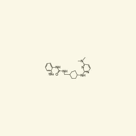 CN(C)c1ccnc(NC2CCC(CNC(=O)Nc3ccccc3C(C)(C)C)CC2)n1